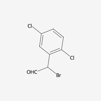 O=CC(Br)c1cc(Cl)ccc1Cl